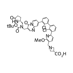 COc1nc(-c2cccc(-c3cccc(-c4ccn5c(=O)c(CN(C[C@@H]6CCC(=O)N6)C(=O)OC(C)(C)C)cnc5c4)c3Cl)c2Cl)ccc1CN1CC(C(=O)O)C1